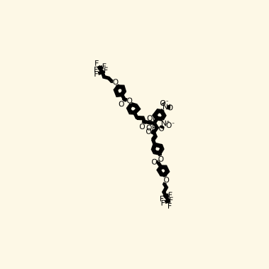 O=C(/C=C/c1ccc(OC(=O)c2ccc(OCCCC(F)(F)C(F)(F)F)cc2)cc1)CC(c1ccc([N+](=O)[O-])cc1[N+](=O)[O-])C(O)(O)C(=O)/C=C/c1ccc(OC(=O)c2ccc(OCCCC(F)(F)C(F)(F)F)cc2)cc1